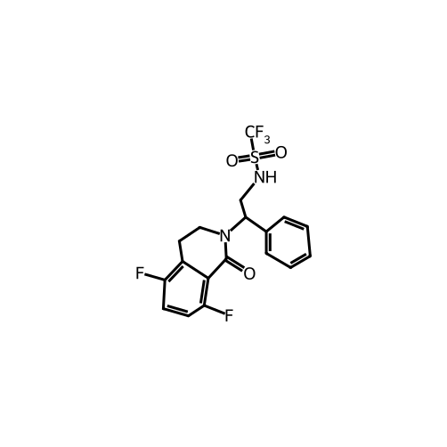 O=C1c2c(F)ccc(F)c2CCN1C(CNS(=O)(=O)C(F)(F)F)c1ccccc1